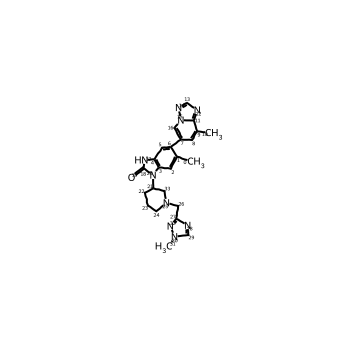 Cc1cc2c(cc1-c1cc(C)c3ncnn3c1)[nH]c(=O)n2C1CCCN(Cc2ncn(C)n2)C1